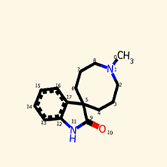 CN1CCCC2(CCC1)C(=O)Nc1ccccc12